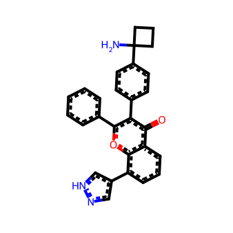 NC1(c2ccc(-c3c(-c4ccccc4)oc4c(-c5cn[nH]c5)cccc4c3=O)cc2)CCC1